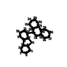 c1ccc2c(c1)Cc1c-2cccc1-c1cc2ccccc2c2ccccc12